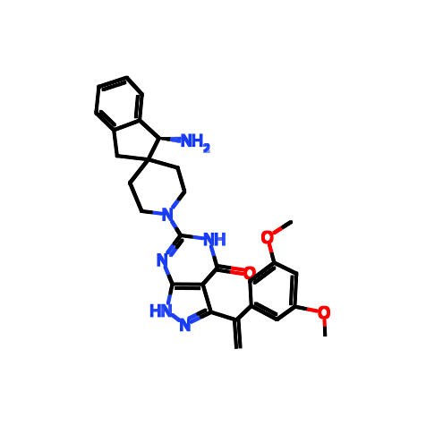 C=C(c1cc(OC)cc(OC)c1)c1n[nH]c2nc(N3CCC4(CC3)Cc3ccccc3[C@H]4N)[nH]c(=O)c12